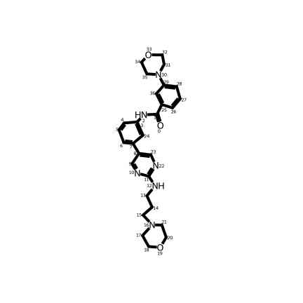 O=C(Nc1cccc(-c2cnc(NCCCN3CCOCC3)nc2)c1)c1cccc(N2CCOCC2)c1